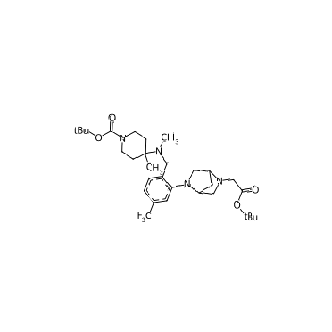 CN(Cc1ccc(C(F)(F)F)cc1N1CC2CC1CN2CC(=O)OC(C)(C)C)C1(C)CCN(C(=O)OC(C)(C)C)CC1